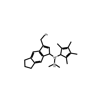 CC1=C(C)[CH]([Hf+]([CH]2C=C(CC(C)C)c3cc4c(cc32)CCC4)[SiH](C)C)C(C)=C1C